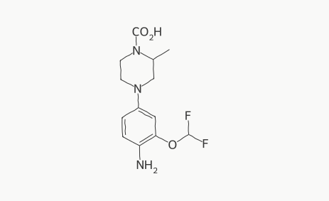 CC1CN(c2ccc(N)c(OC(F)F)c2)CCN1C(=O)O